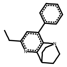 CCc1cc(-c2ccccc2)c2c(n1)C1CCN2CC1